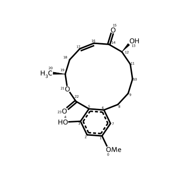 COc1cc(O)c2c(c1)CCCC[C@H](O)C(=O)/C=C\C[C@H](C)OC2=O